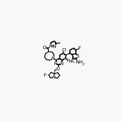 Cc1ccn(C(=O)C2CCCCN(c3nc(OC[C@@]45CCCN4C[C@H](F)C5)nc4c(F)c(-c5ccc(F)c6sc(N)c(C#N)c56)c(Cl)cc34)CC2)n1